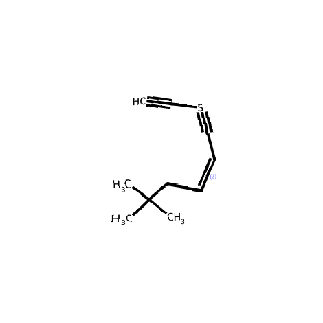 C#CS#C/C=C\CC(C)(C)C